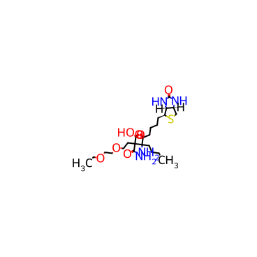 CCCCC(N)(C(=O)CCCC[C@@H]1SC[C@@H]2NC(=O)N[C@@H]21)C(CCOCCOCC)(C(N)=O)C(=O)O